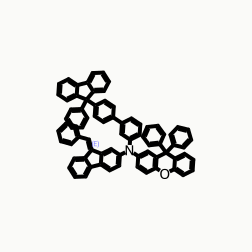 C(=C1/c2ccccc2-c2ccc(N(c3cccc(-c4ccc(C5(c6ccccc6)c6ccccc6-c6ccccc65)cc4)c3)c3ccc4c(c3)C(c3ccccc3)(c3ccccc3)c3ccccc3O4)cc21)/c1ccccc1